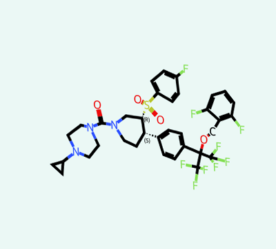 O=C(N1CCN(C2CC2)CC1)N1CC[C@@H](c2ccc(C(OCc3c(F)cccc3F)(C(F)(F)F)C(F)(F)F)cc2)[C@@H](S(=O)(=O)c2ccc(F)cc2)C1